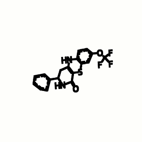 O=C1NC(c2ccccc2)CC2=C1Sc1cc(OC(F)(F)F)ccc1N2